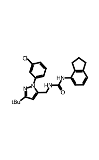 CC(C)(C)c1cc(CNC(=O)Nc2cccc3c2CCC3)n(-c2cccc(Cl)c2)n1